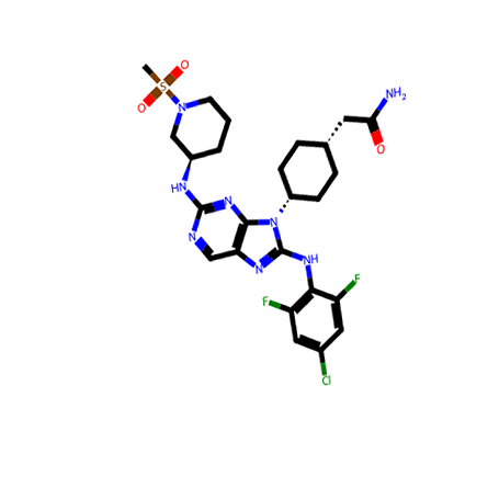 CS(=O)(=O)N1CCC[C@@H](Nc2ncc3nc(Nc4c(F)cc(Cl)cc4F)n([C@H]4CC[C@@H](CC(N)=O)CC4)c3n2)C1